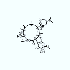 CC[C@H]1OC(=O)[C@H](C)[C@@H](O[C@H]2C[C@@](C)(OC)[C@@H](O)[C@H](C)O2)[C@H](C)[C@@H](O[C@H]2CC(N(C)C)C[C@@H](C)O2)[C@](C)(O)C[C@@H](C)CN(C)[C@H](C)[C@@H](OC)[C@]1(C)O